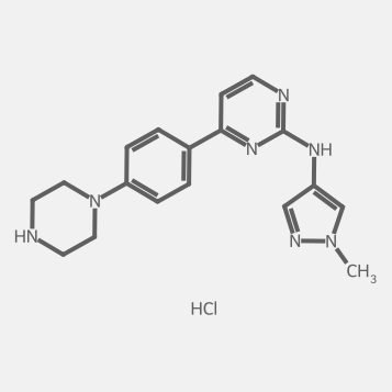 Cl.Cn1cc(Nc2nccc(-c3ccc(N4CCNCC4)cc3)n2)cn1